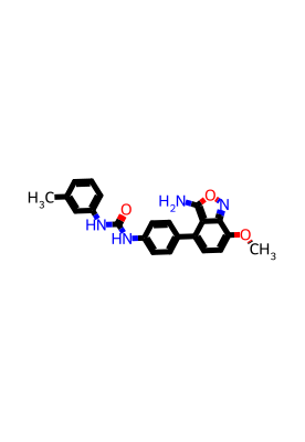 COc1ccc(-c2ccc(NC(=O)Nc3cccc(C)c3)cc2)c2c(N)onc12